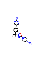 Nc1ncc(-c2ccc(C3(c4noc(N5CCC(N)CC5)n4)CCC3)cc2)cn1